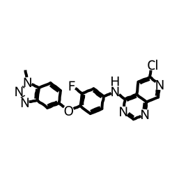 Cn1nnc2cc(Oc3ccc(Nc4ncnc5cnc(Cl)cc45)cc3F)ccc21